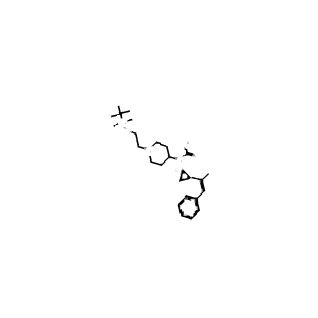 CC(=Cc1ccccc1)C1C[C@@H]1N(C(=O)O)C1CCN(CCO[Si](C)(C)C(C)(C)C)CC1